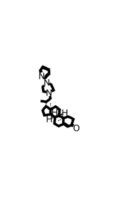 CC(CN1CCN(c2ccccn2)CC1)[C@H]1CC[C@H]2[C@@H]3CCC4=CC(=O)CC[C@]4(C)[C@H]3CC[C@]12C